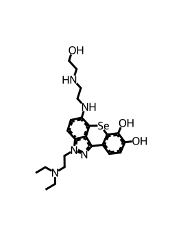 CCN(CC)CCn1nc2c3c(c(NCCNCCO)ccc31)[Se]c1c-2ccc(O)c1O